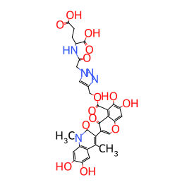 Cc1c(-c2coc3cc(O)c(O)c(C(=O)OCc4cn(CC(=O)NC(CCC(=O)O)C(=O)O)nn4)c3c2=O)c(=O)n(C)c2cc(O)c(O)cc12